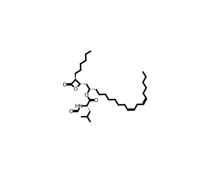 CCCCC/C=C\C/C=C\CCCCCCC[C@@H](C[C@@H]1OC(=O)[C@H]1CCCCCC)OC(=O)[C@H](CC(C)C)NC=O